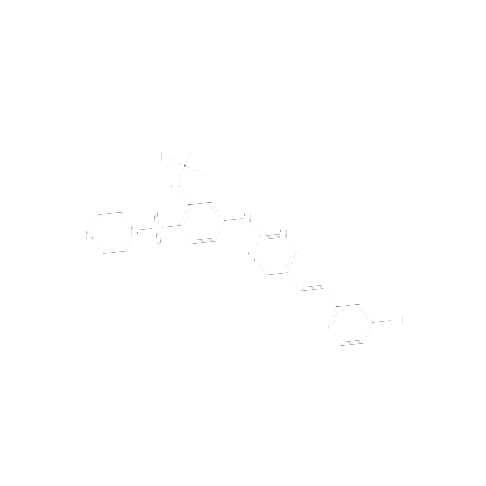 O=S(=O)(c1ccc(Nc2ncc(/C=C/c3cccc(O)c3)cn2)cc1OC(F)(F)F)N1CCNCC1